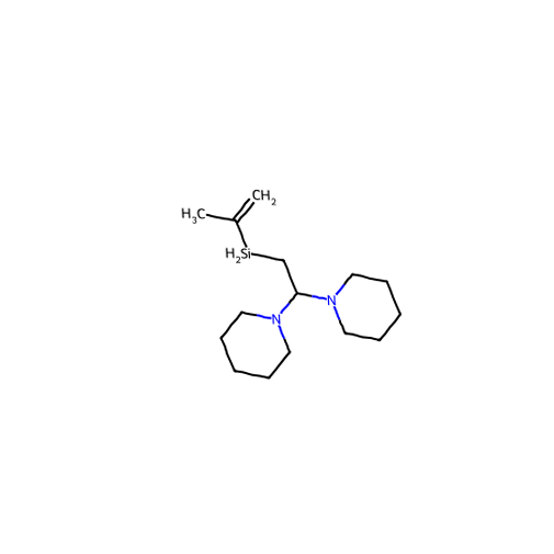 C=C(C)[SiH2]CC(N1CCCCC1)N1CCCCC1